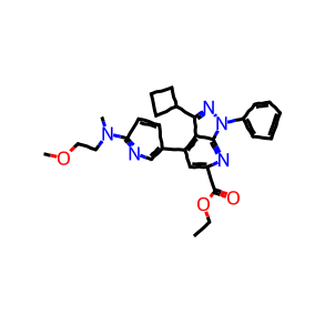 CCOC(=O)c1cc(-c2ccc(N(C)CCOC)nc2)c2c(C3CCC3)nn(-c3ccccc3)c2n1